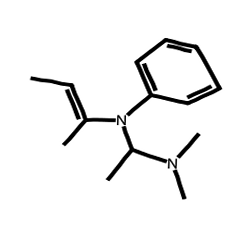 CC=C(C)N(c1ccccc1)C(C)N(C)C